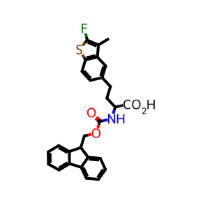 Cc1c(F)sc2ccc(CCC(NC(=O)OCC3c4ccccc4-c4ccccc43)C(=O)O)cc12